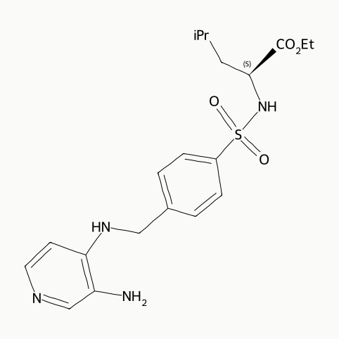 CCOC(=O)[C@H](CC(C)C)NS(=O)(=O)c1ccc(CNc2ccncc2N)cc1